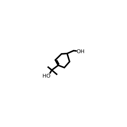 CC(C)(O)C1=CCC(CO)CC1